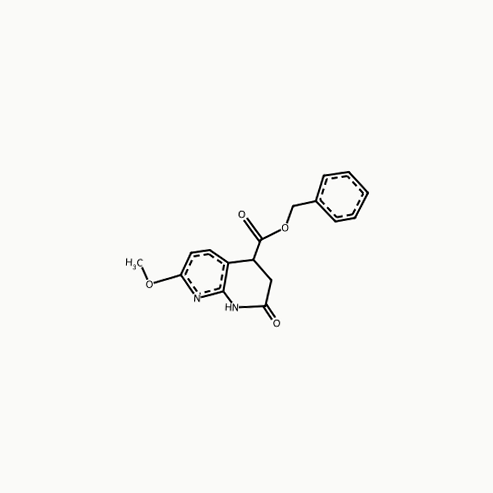 COc1ccc2c(n1)NC(=O)CC2C(=O)OCc1ccccc1